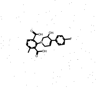 Cc1ccc(C(=O)O)c(N2CC=C(c3ccc(F)cc3)C(O)C2)c1C(=O)O